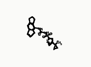 CC1(c2csc(S(=O)(=O)NC(=O)Nc3c4c(cc5c3CCC5)CCC4)c2)CC1